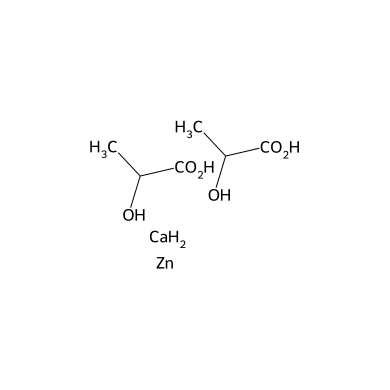 CC(O)C(=O)O.CC(O)C(=O)O.[CaH2].[Zn]